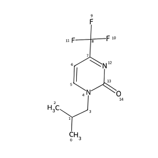 CC(C)Cn1ccc(C(F)(F)F)nc1=O